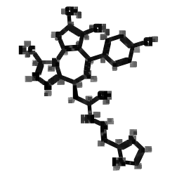 Cc1sc2c(c1C)C(c1ccc(Cl)cc1)=N[C@@H](CC(O)N/N=C/c1ncc[nH]1)c1nnc(C)n1-2